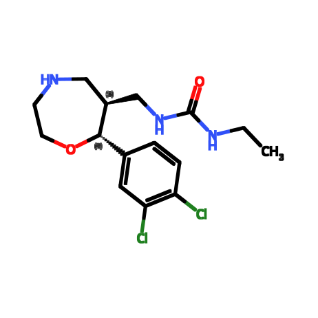 CCNC(=O)NC[C@@H]1CNCCO[C@H]1c1ccc(Cl)c(Cl)c1